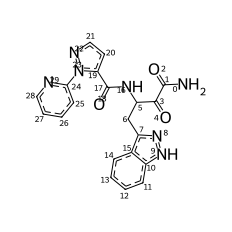 NC(=O)C(=O)C(Cc1n[nH]c2ccccc12)NC(=O)c1ccnn1-c1ccccn1